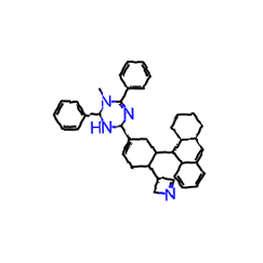 CN1C(c2ccccc2)=NC(C2=CCC(C3C=NC3)C(C3C4C=CC=CC4=CC4CCCCC43)C2)NC1c1ccccc1